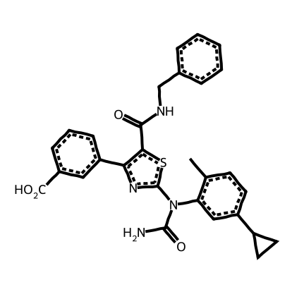 Cc1ccc(C2CC2)cc1N(C(N)=O)c1nc(-c2cccc(C(=O)O)c2)c(C(=O)NCc2ccccc2)s1